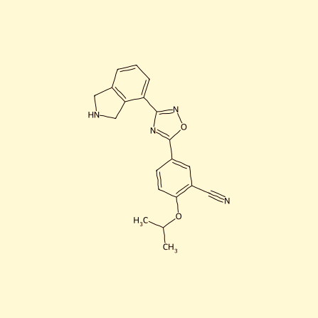 CC(C)Oc1ccc(-c2nc(-c3cccc4c3CNC4)no2)cc1C#N